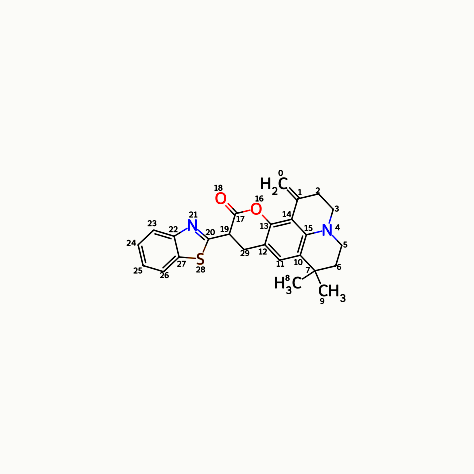 C=C1CCN2CCC(C)(C)c3cc4c(c1c32)OC(=O)C(c1nc2ccccc2s1)C4